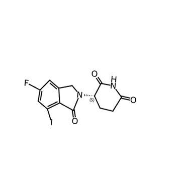 O=C1CC[C@H](N2Cc3cc(F)cc(I)c3C2=O)C(=O)N1